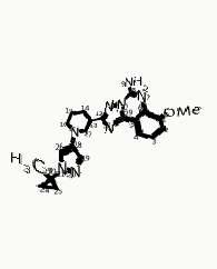 COc1cccc2c1nc(N)n1nc([C@@H]3CCCN(c4cnn(C5(C)CC5)c4)C3)nc21